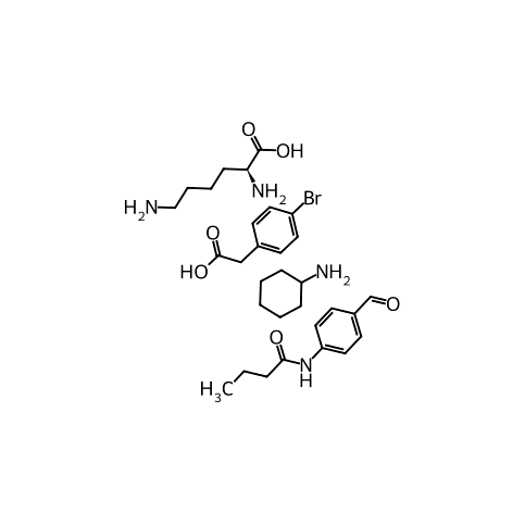 CCCC(=O)Nc1ccc(C=O)cc1.NC1CCCCC1.NCCCC[C@H](N)C(=O)O.O=C(O)Cc1ccc(Br)cc1